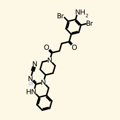 N#C/N=C1/Nc2ccccc2CN1C1CCN(C(=O)CCC(=O)c2cc(Br)c(N)c(Br)c2)CC1